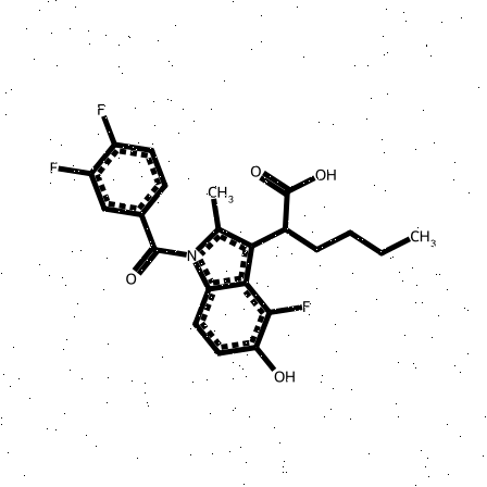 CCCCC(C(=O)O)c1c(C)n(C(=O)c2ccc(F)c(F)c2)c2ccc(O)c(F)c12